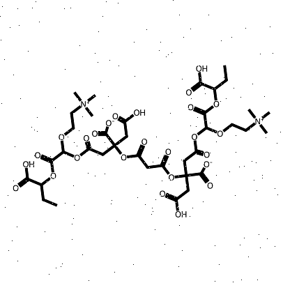 CCC(OC(=O)C(OCC[N+](C)(C)C)OC(=O)CC(CC(=O)O)(OC(=O)CC(=O)OC(CC(=O)O)(CC(=O)OC(OCC[N+](C)(C)C)C(=O)OC(CC)C(=O)O)C(=O)[O-])C(=O)[O-])C(=O)O